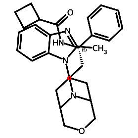 Cc1nc2ccccc2n1C1CC2COCC(C1)N2CC[C@H](NC(=O)C1CCC1)c1ccccc1